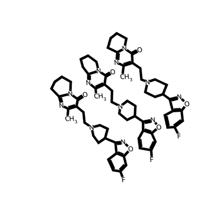 Cc1nc2n(c(=O)c1CCN1CCC(c3noc4cc(F)ccc34)CC1)CCCC2.Cc1nc2n(c(=O)c1CCN1CCC(c3noc4cc(F)ccc34)CC1)CCCC2.Cc1nc2n(c(=O)c1CCN1CCC(c3noc4cc(F)ccc34)CC1)CCCC2